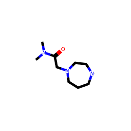 CN(C)C(=O)CN1CCC[N]CC1